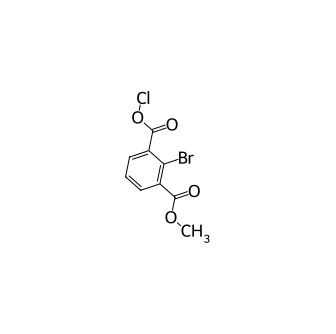 COC(=O)c1cccc(C(=O)OCl)c1Br